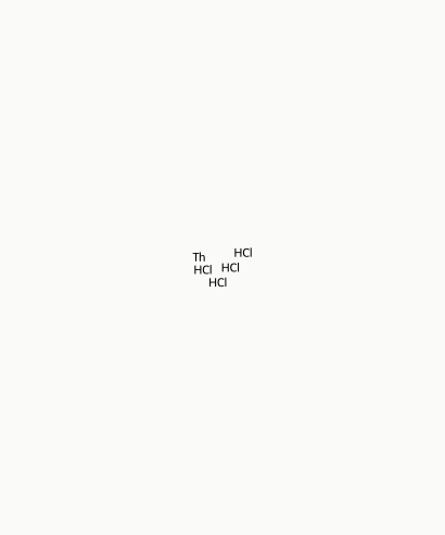 Cl.Cl.Cl.Cl.[Th]